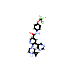 O=C(Nc1ccc(OC(F)(F)Cl)cc1)c1cnc(N2CCNC3(CC3)C2)c(-c2cncnc2)c1